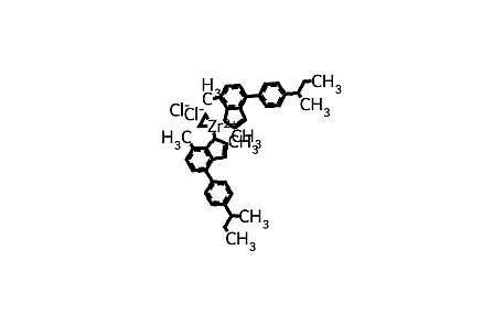 CCC(C)c1ccc(-c2ccc(C)c3c2C=C(C)[CH]3[Zr+2]2([CH]3C(C)=Cc4c(-c5ccc(C(C)CC)cc5)ccc(C)c43)[CH2][CH2]2)cc1.[Cl-].[Cl-]